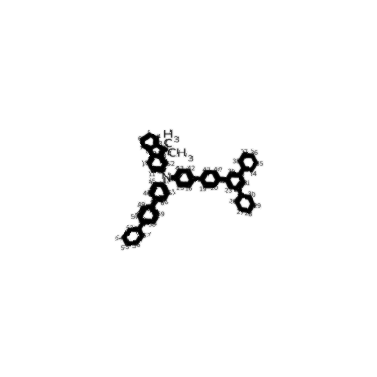 CC1(C)c2ccccc2-c2ccc(N(c3ccc(-c4ccc(-c5cc(C6CCCCC6)cc(C6CCCCC6)c5)cc4)cc3)c3ccc(-c4ccc(C5CCCCC5)cc4)cc3)cc21